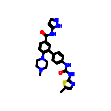 Cc1cnc(NC(=O)Nc2ccc(-c3cc(C(=O)Nc4ccn[nH]4)ccc3N3CCN(C)CC3)cc2)s1